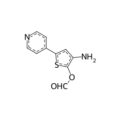 Nc1cc(-c2ccncc2)sc1OC=O